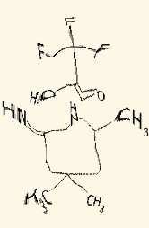 CC1CC(C)(C)CC(=N)N1.O=C(O)C(F)(F)F